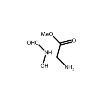 COC(=O)CN.O=CNO